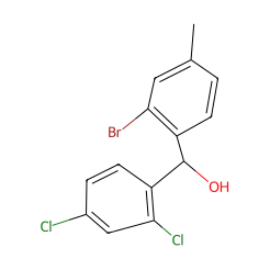 Cc1ccc(C(O)c2ccc(Cl)cc2Cl)c(Br)c1